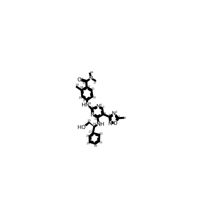 Cc1nc(-c2cnc(Nc3ccc(C(=O)N(C)C)c(C)c3)nc2N[C@H](CO)c2ccccc2)no1